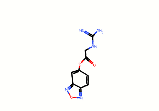 N=C(N)NCC(=O)Oc1ccc2nonc2c1